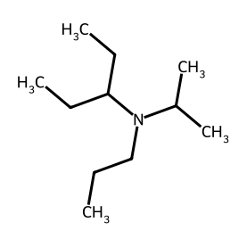 CCCN(C(C)C)C(CC)CC